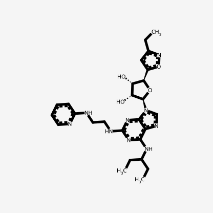 CCc1cc([C@H]2O[C@@H](n3cnc4c(NC(CC)CC)nc(NCCNc5ccccn5)nc43)[C@H](O)[C@@H]2O)on1